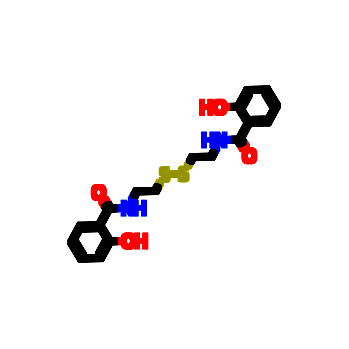 O=C(NCCSSCCNC(=O)c1ccccc1O)c1ccccc1O